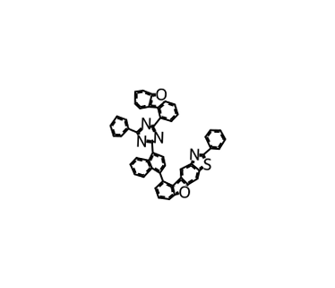 c1ccc(-c2nc(-c3ccc(-c4cccc5oc6cc7sc(-c8ccccc8)nc7cc6c45)c4ccccc34)nc(-c3cccc4oc5ccccc5c34)n2)cc1